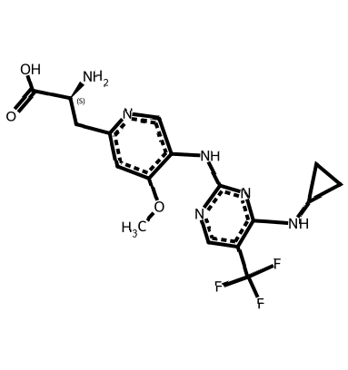 COc1cc(C[C@H](N)C(=O)O)ncc1Nc1ncc(C(F)(F)F)c(NC2CC2)n1